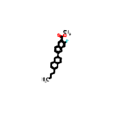 CCCCC1CCC2CC(c3ccc4cc(C(=O)OC)c(F)cc4c3)CCC2C1